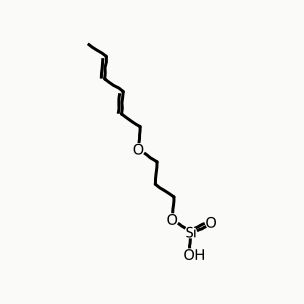 CC=CC=CCOCCCO[Si](=O)O